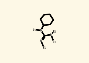 CCN=C(N(CC)CC)N(CC)C1CCCCC1